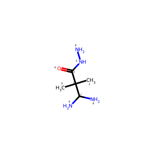 CC(C)(C(=O)NN)C(N)N